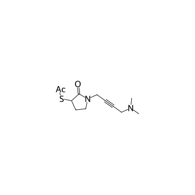 CC(=O)SC1CCN(CC#CCN(C)C)C1=O